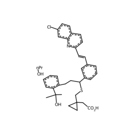 CC(C)(O)c1ccccc1CCC(SCC1(CC(=O)O)CC1)c1cccc(/C=C/c2ccc3ccc(Cl)cc3n2)c1.CCCO